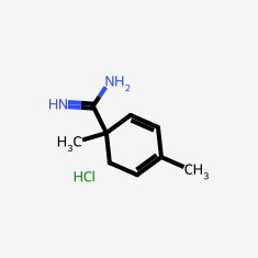 CC1=CCC(C)(C(=N)N)C=C1.Cl